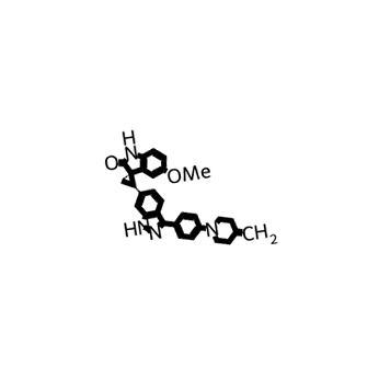 C=C1CCN(c2ccc(-c3n[nH]c4cc([C@@H]5C[C@@]56C(=O)Nc5ccc(OC)cc56)ccc34)cc2)CC1